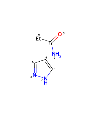 CCC(N)=O.c1cn[nH]c1